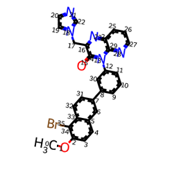 COc1ccc2cc(-c3cccc(-n4c(=O)c(Cn5ccnc5)nc5cccnc54)c3)ccc2c1Br